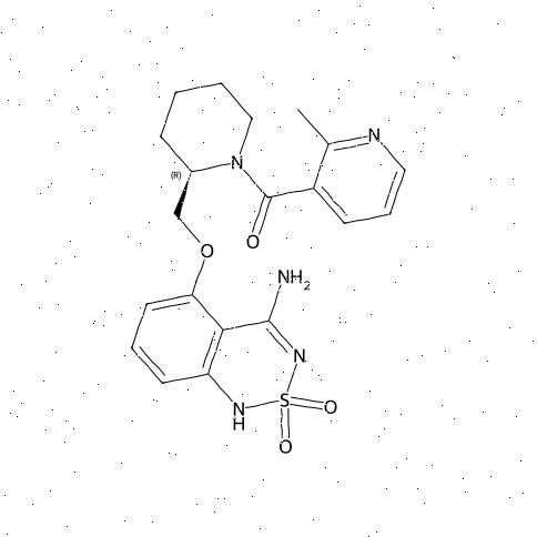 Cc1ncccc1C(=O)N1CCCC[C@@H]1COc1cccc2c1C(N)=NS(=O)(=O)N2